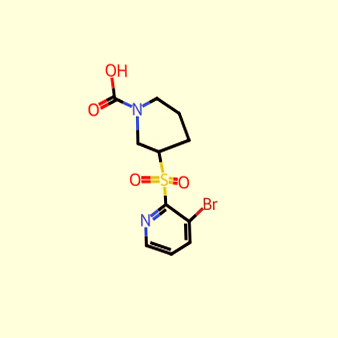 O=C(O)N1CCCC(S(=O)(=O)c2ncccc2Br)C1